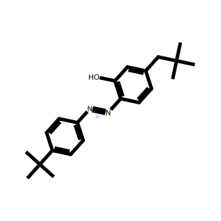 CC(C)(C)Cc1ccc(/N=N/c2ccc(C(C)(C)C)cc2)c(O)c1